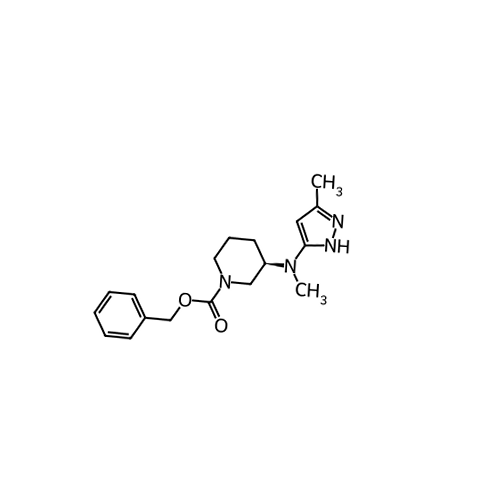 Cc1cc(N(C)[C@@H]2CCCN(C(=O)OCc3ccccc3)C2)[nH]n1